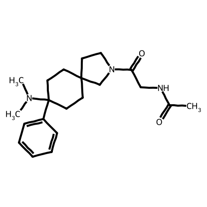 CC(=O)NCC(=O)N1CCC2(CCC(c3ccccc3)(N(C)C)CC2)C1